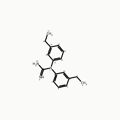 CCc1cccc(N(C(=N)N)c2cccc(CC)c2)c1